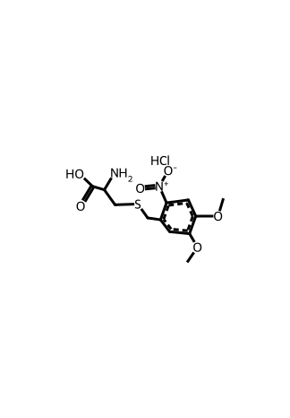 COc1cc(CSCC(N)C(=O)O)c([N+](=O)[O-])cc1OC.Cl